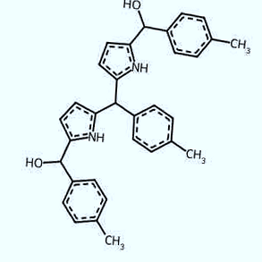 Cc1ccc(C(O)c2ccc(C(c3ccc(C)cc3)c3ccc(C(O)c4ccc(C)cc4)[nH]3)[nH]2)cc1